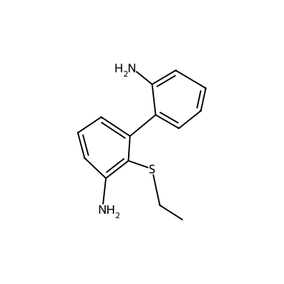 CCSc1c(N)cccc1-c1ccccc1N